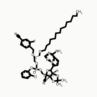 CCCCCCCCCCCCCCOC[C@H](COP(=O)(OC[C@@]1(C#N)OC(c2ccc3c(N)ncnn23)[C@@H]2OC(C)(C)O[C@@H]21)Oc1ccccc1Cl)OCc1ccc(C#N)cc1F